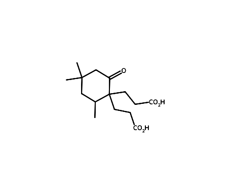 CC1CC(C)(C)CC(=O)C1(CCC(=O)O)CCC(=O)O